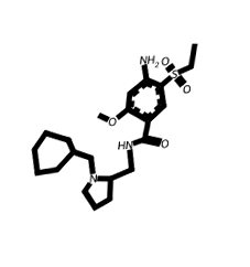 CCS(=O)(=O)c1cc(C(=O)NCC2CCCN2CC2CCCCC2)c(OC)cc1N